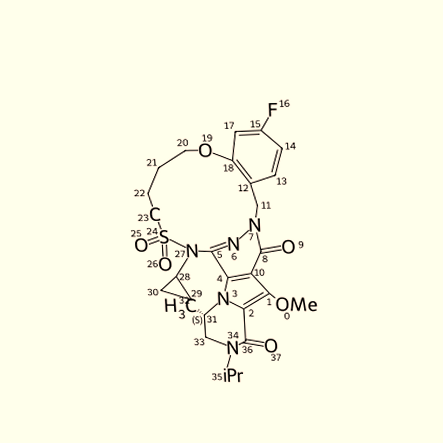 COc1c2n(c3c4nn(c(=O)c13)Cc1ccc(F)cc1OCCCCS(=O)(=O)N4C1CC1)[C@@H](C)CN(C(C)C)C2=O